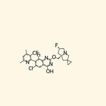 Cc1cc(C)c(C(F)(F)F)c(-c2c(Cl)cc3c(O)nc(OC[C@@]45C[C@@H](F)CN4CC4(CC4)C5)nc3c2F)n1